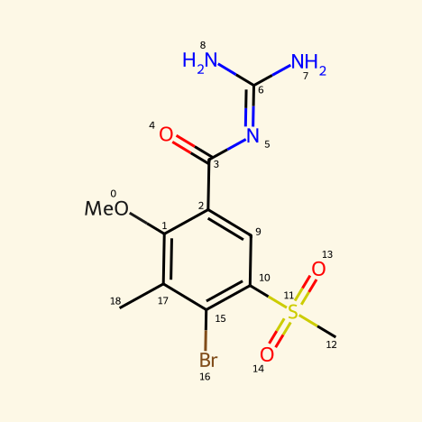 COc1c(C(=O)N=C(N)N)cc(S(C)(=O)=O)c(Br)c1C